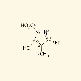 CCc1nn(C(=O)O)cc1C.Cl